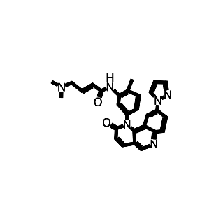 Cc1ccc(-n2c(=O)ccc3cnc4ccc(-n5cccn5)cc4c32)cc1NC(=O)C=CCN(C)C